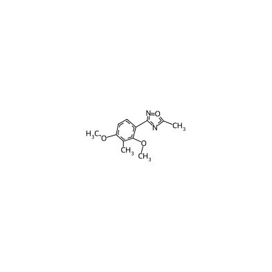 COc1ccc(-c2noc(C)n2)c(OC)c1C